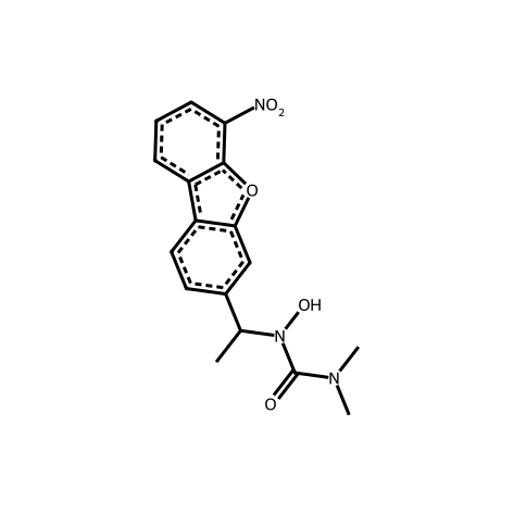 CC(c1ccc2c(c1)oc1c([N+](=O)[O-])cccc12)N(O)C(=O)N(C)C